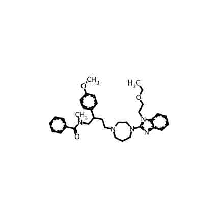 CCOCCn1c(N2CCCN(CCC(CN(C)C(=O)c3ccccc3)c3ccc(OC)cc3)CC2)nc2ccccc21